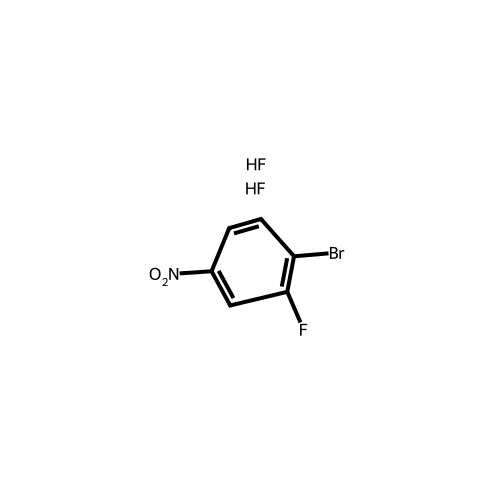 F.F.O=[N+]([O-])c1ccc(Br)c(F)c1